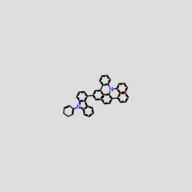 C1=CC(n2c3ccccc3c3c(-c4cccc(-c5ccccc5N(c5ccccc5)c5ccccc5-c5ccccc5)c4)cccc32)=CCC1